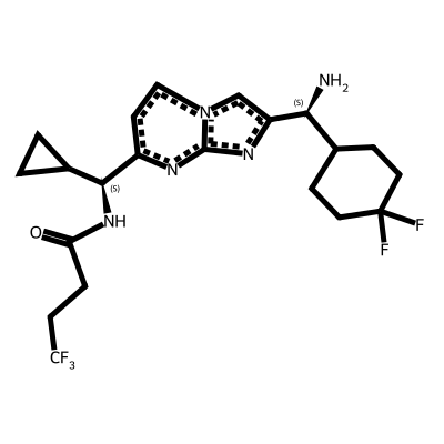 N[C@H](c1cn2ccc([C@@H](NC(=O)CCC(F)(F)F)C3CC3)nc2n1)C1CCC(F)(F)CC1